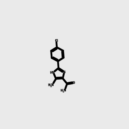 NC(=O)c1nc(-c2ccc(Cl)cc2)[nH]c1N